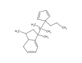 CCC[C]1([Zr]([CH3])([CH3])[C]2(C)CC(C)C3CC=CC=C32)C=CC=C1